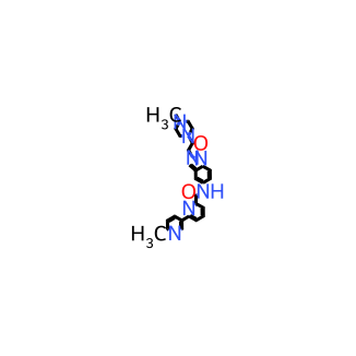 Cc1ccc(-c2cccc(C(=O)Nc3ccc4nn(CC(=O)N5CCN(C)CC5)cc4c3)n2)cn1